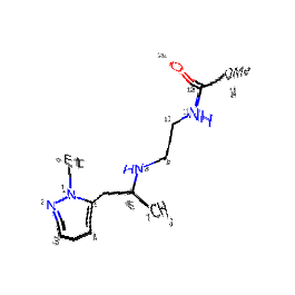 CCn1nccc1C(C)NCCNC(=O)OC